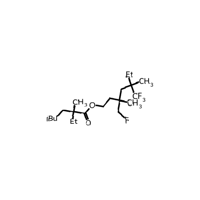 CCC(C)CC(C)(CC)C(=O)OCCC(C)(CF)CC(C)(CC)C(F)(F)F